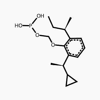 CC[C@@H](C)c1cccc([C@H](C)C2CC2)c1OCOP(O)O